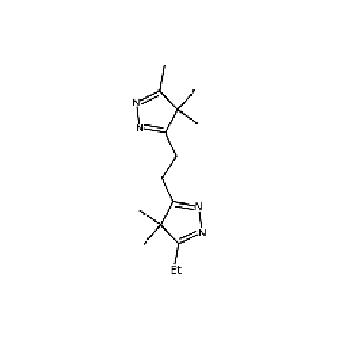 CCC1=NN=C(CCC2=NN=C(C)C2(C)C)C1(C)C